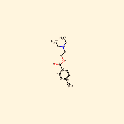 CCN(CC)CCOC(=O)c1ccc(C)cc1